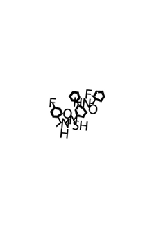 CC(NC(=O)N(S)c1ccc(NC(=O)c2ccccc2F)c(-c2ccccc2)c1)c1ccc(F)cc1